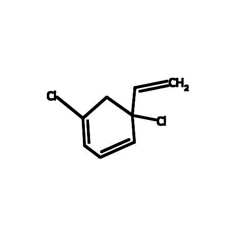 C=CC1(Cl)C=CC=C(Cl)C1